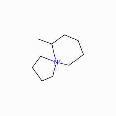 CC1CCCC[N+]12CCCC2